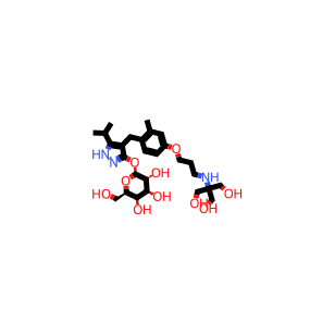 Cc1cc(OCCCNC(CO)(CO)CO)ccc1Cc1c(O[C@@H]2O[C@H](CO)[C@H](O)[C@H](O)[C@H]2O)n[nH]c1C(C)C